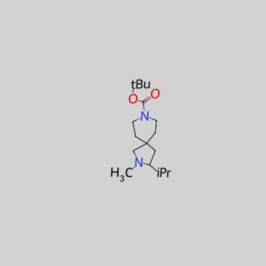 CC(C)C1CC2(CCN(C(=O)OC(C)(C)C)CC2)CN1C